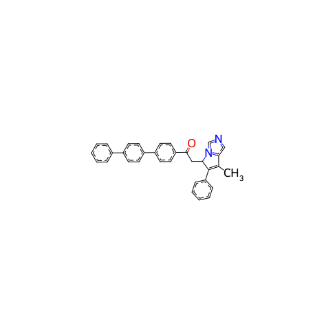 CC1=C(c2ccccc2)C(CC(=O)c2ccc(-c3ccc(-c4ccccc4)cc3)cc2)n2cncc21